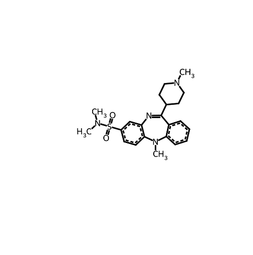 CN1CCC(C2=Nc3cc(S(=O)(=O)N(C)C)ccc3N(C)c3ccccc32)CC1